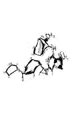 Cc1cnc(Nc2cccc(C(=O)N3CCCC3)c2)nc1NC1C2C=CC(C2)C1C